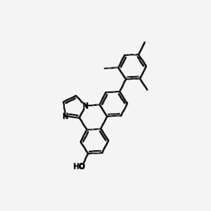 Cc1cc(C)c(-c2ccc3c4ccc(O)cc4c4nccn4c3c2)c(C)c1